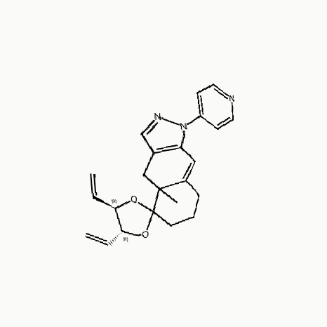 C=C[C@H]1OC2(CCCC3=Cc4c(cnn4-c4ccncc4)CC32C)O[C@@H]1C=C